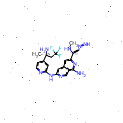 CN/C(=C\N=N)c1cc2cc(Nc3cc([C@@](C)(N)CC(F)(F)F)ccn3)ncc2c(N)n1